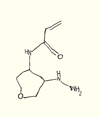 C=CC(=O)NC1COCC1NN